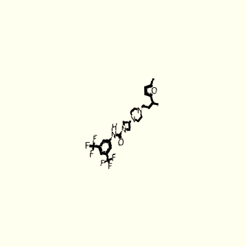 Cc1ccc(C(C)CCN2CCN(C3CN(C(=O)Nc4cc(C(F)(F)F)cc(C(F)(F)F)c4)C3)CC2)o1